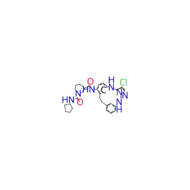 O=C(Nc1ccc2cc1CCc1cccc(c1)Nc1ncc(Cl)c(n1)N2)C1CCCN(C(=O)NC2CCCC2)C1